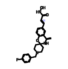 C=C1NC2(CCN(Cc3ccc(F)cc3)CC2)Oc2ccc(/C=C/C(=O)NO)cc21